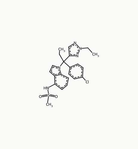 CCn1ncc(C(CC)(c2ccc(Cl)cc2)n2ccc3c(NS(C)(=O)=O)cccc32)n1